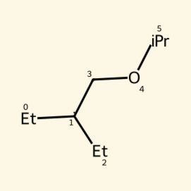 CC[C](CC)COC(C)C